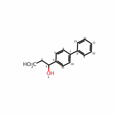 O=C(O)CC(O)c1ccc(-c2ccccc2)cc1